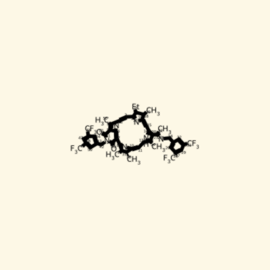 CCC1c2cc3[nH]c4c(c5nc(cc6[nH]c(cc(n2)C1C)c(/C(C)=N/Cc1cc(C(F)(F)F)cc(C(F)(F)F)c1)c6C)[C@@H](C)C5C)C(=O)N(Cc1cc(C(F)(F)F)cc(C(F)(F)F)c1)C(=O)c4c3C